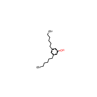 CC(C)(C)CCCCCc1cc(O)cc(CCCCCC(C)(C)C)c1